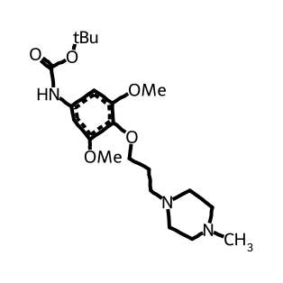 COc1cc(NC(=O)OC(C)(C)C)cc(OC)c1OCCCN1CCN(C)CC1